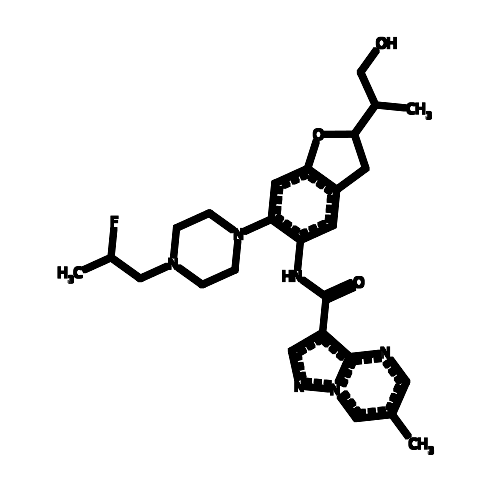 Cc1cnc2c(C(=O)Nc3cc4c(cc3N3CCN(CC(C)F)CC3)OC(C(C)CO)C4)cnn2c1